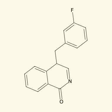 O=C1N=CC(Cc2cccc(F)c2)c2ccccc21